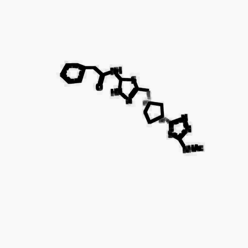 CC(=O)Nc1nnc([C@@H]2CC[C@H](CC3=NNC(NC(=O)Cc4ccccc4)S3)C2)s1